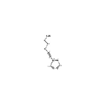 N#CCCCC#Cc1ccccc1